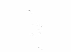 CC(C)(C)C(=O)NC[C@H]1C[C@H](n2cc(-c3cccc(OCc4ccccc4)c3)c3c(N)ncnc32)C1